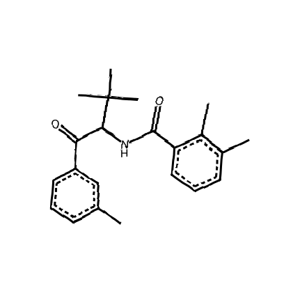 Cc1cccc(C(=O)C(NC(=O)c2cccc(C)c2C)C(C)(C)C)c1